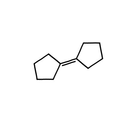 C1CCC(=C2CCCC2)C1